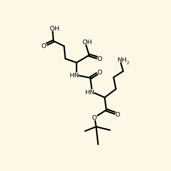 CC(C)(C)OC(=O)C(CCCN)NC(=O)NC(CCC(=O)O)C(=O)O